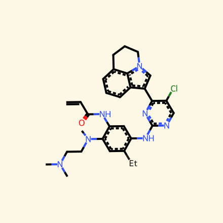 C=CC(=O)Nc1cc(Nc2ncc(Cl)c(-c3cn4c5c(cccc35)CCC4)n2)c(CC)cc1N(C)CCN(C)C